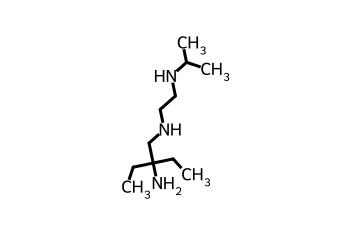 CCC(N)(CC)CNCCNC(C)C